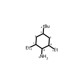 CCC1CC(C(C)(C)C)CC(CC)C1N